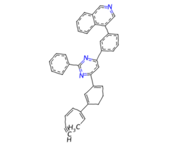 C#C/C=C\C(=C/C)C1=CC(c2cc(-c3cccc(-c4cncc5ccccc45)c3)nc(-c3ccccc3)n2)=CCC1